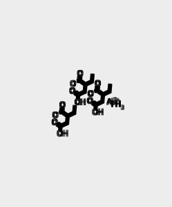 CCC(CC(=O)O)C(=O)[O-].CCC(CC(=O)O)C(=O)[O-].CCC(CC(=O)O)C(=O)[O-].P.[Al+3]